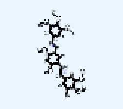 COc1cc(OC)c(/C=C/c2cc(OC)c(OC)c(OC)c2)cc1/C=C/c1cc(C)c(OC)c(OC)c1